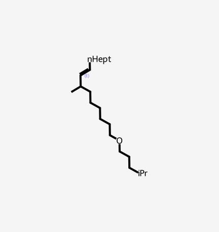 CCCCCCC/C=C/C(C)CCCCCCOCCCC(C)C